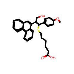 COc1ccc(C(SCCCCCC(=O)O)C(CO)c2cc3ccccc3c3ccccc23)cc1